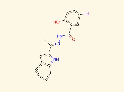 C/C(=N\NC(=O)c1cc(I)ccc1O)c1cc2ccccc2[nH]1